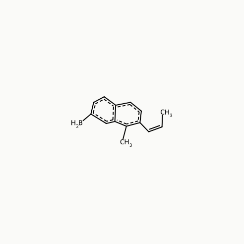 Bc1ccc2ccc(/C=C\C)c(C)c2c1